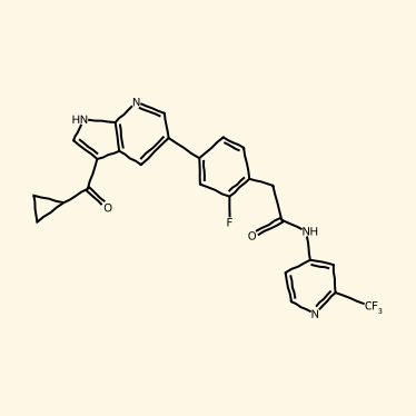 O=C(Cc1ccc(-c2cnc3[nH]cc(C(=O)C4CC4)c3c2)cc1F)Nc1ccnc(C(F)(F)F)c1